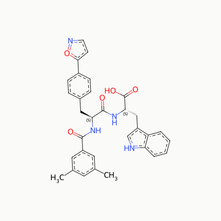 Cc1cc(C)cc(C(=O)N[C@@H](Cc2ccc(-c3ccno3)cc2)C(=O)N[C@@H](Cc2c[nH]c3ccccc23)C(=O)O)c1